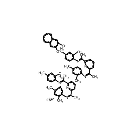 CC(=Nc1ccc(C)cc1C)c1cccc(C(C)=Nc2ccc(C)cc2C)n1.CC(=Nc1ccc(C)cc1C)c1cccc(C(C)=Nc2ccc(C)cc2C)n1.[Co+].[Co+].[O-]c1cc2ccccc2cc1[O-]